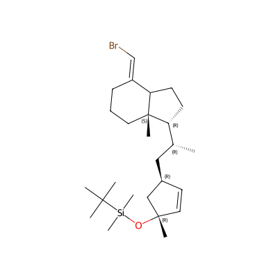 C[C@H](C[C@H]1C=C[C@](C)(O[Si](C)(C)C(C)(C)C)C1)[C@H]1CCC2C(=CBr)CCC[C@]21C